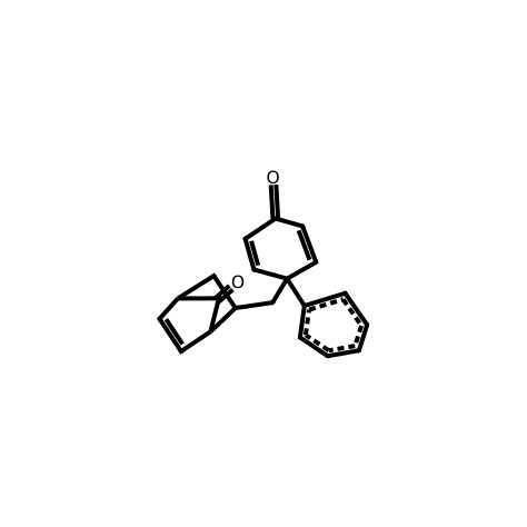 O=C1C=CC(CC2CC3C=CC2C3=O)(c2ccccc2)C=C1